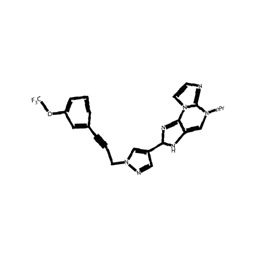 CCCN1C=C2NC(c3cnn(CC#Cc4cccc(OC(F)(F)F)c4)c3)N=C2n2ccnc21